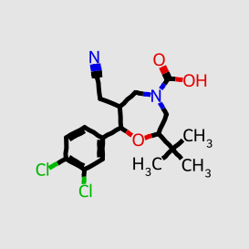 CC(C)(C)C1CN(C(=O)O)CC(CC#N)C(c2ccc(Cl)c(Cl)c2)O1